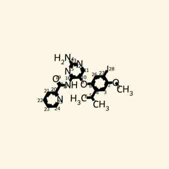 COc1cc(C(C)C)c(Oc2cnc(N)nc2NC(=O)c2ccccn2)cc1I